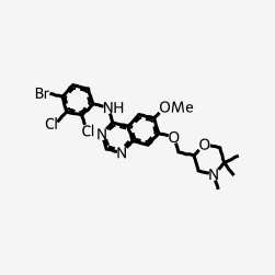 COc1cc2c(Nc3ccc(Br)c(Cl)c3Cl)ncnc2cc1OCC1CN(C)C(C)(C)CO1